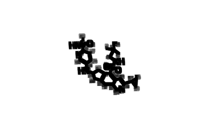 CC(C)(F)CNS(=O)(=O)c1c2c(cc3cnc(C4CC4)cc13)CC(Nc1ccc(S(C)(=N)=O)nc1)C2